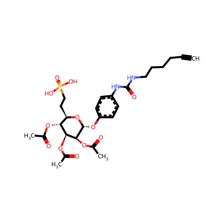 C#CCCCCNC(=O)Nc1ccc(O[C@H]2O[C@H](CCP(=O)(O)O)[C@@H](OC(C)=O)[C@H](OC(C)=O)[C@@H]2OC(C)=O)cc1